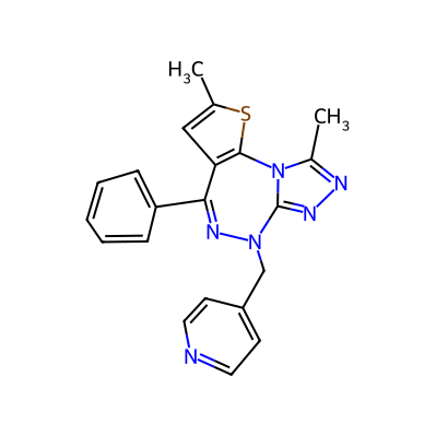 Cc1cc2c(s1)-n1c(C)nnc1N(Cc1ccncc1)N=C2c1ccccc1